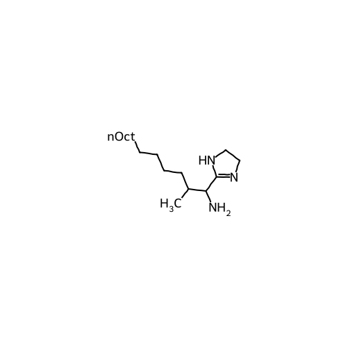 CCCCCCCCCCCCC(C)C(N)C1=NCCN1